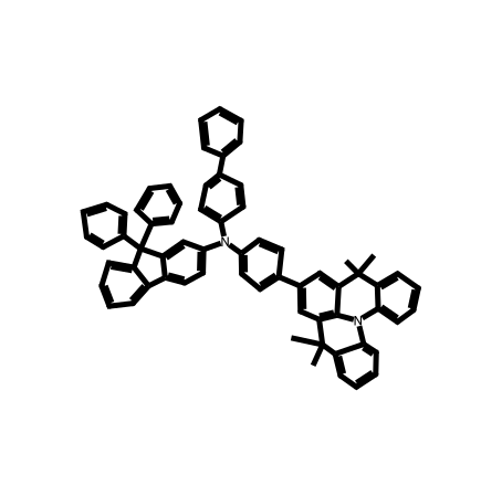 CC1(C)c2ccccc2N2c3ccccc3C(C)(C)c3cc(-c4ccc(N(c5ccc(-c6ccccc6)cc5)c5ccc6c(c5)C(c5ccccc5)(c5ccccc5)c5ccccc5-6)cc4)cc1c32